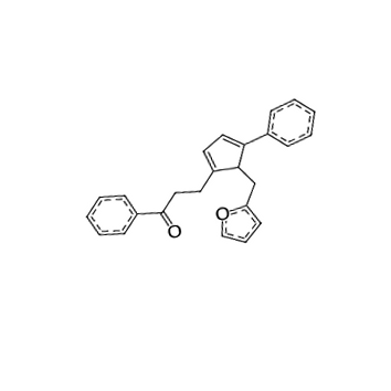 O=C(CCC1=CC=C(c2ccccc2)C1Cc1ccco1)c1ccccc1